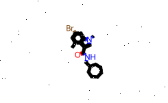 Cc1cc(Br)cc2c1c(C(=O)NCC1CCCCCC1)cn2C